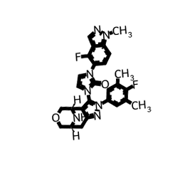 Cc1cc(-n2nc3c(c2-n2ccn(-c4ccc5c(cnn5C)c4F)c2=O)[C@@H]2COC[C@H](C3)N2)cc(C)c1F